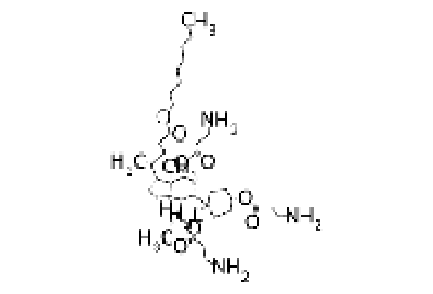 CCCCCCCCOC(=O)CC[C@@H](C)[C@H]1CC[C@H]2[C@H]([C@@H](CC)OC(=O)CCN)[C@@H]([C@]3(C)CC[C@H](OC(=O)CCN)CC3)C[C@H](OC(=O)CCN)[C@]12C